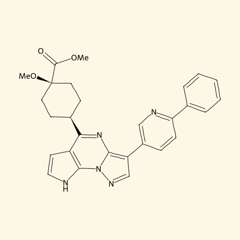 COC(=O)[C@]1(OC)CC[C@@H](c2nc3c(-c4ccc(-c5ccccc5)nc4)cnn3c3[nH]ccc32)CC1